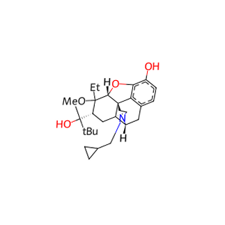 CCC1(OC)[C@@H](C(C)(O)C(C)(C)C)C[C@]2(C)[C@H]3Cc4ccc(O)c5c4[C@@]2(CCN3CC2CC2)[C@H]1O5